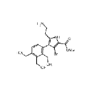 COC(=O)c1[nH]c(CCN)c(-c2ccc(CO)c(CO)c2CO)c1Br